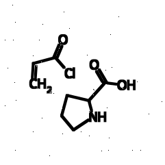 C=CC(=O)Cl.O=C(O)C1CCCN1